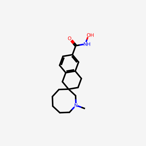 CN1CCCCCC2(CCc3cc(C(=O)NO)ccc3C2)C1